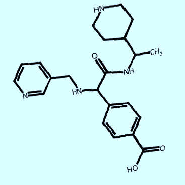 CC(NC(=O)C(NCc1cccnc1)c1ccc(C(=O)O)cc1)C1CCNCC1